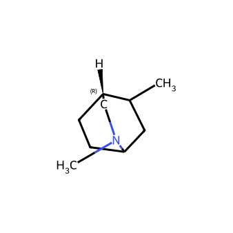 CC1CC2CC[C@H]1CN2C